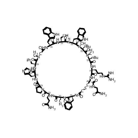 CCCC[C@H]1C(=O)N(C)[C@@H](CCCC)C(=O)N[C@@H](CCCNC(=N)N)C(=O)N[C@H](C(=O)NCC(N)=O)CSCC(=O)N[C@@H](Cc2ccccc2)C(=O)N(C)[C@@H](C)C(=O)N[C@@H](CCC(N)=O)C(=O)N2CCC[C@H]2C(=O)N[C@@H](Cc2cnc[nH]2)C(=O)N[C@@H](CC(C)C)C(=O)N(C)CC(=O)N[C@@H](Cc2c[nH]c3ccccc23)C(=O)N[C@@H](CO)C(=O)N[C@@H](Cc2c[nH]c3ccccc23)C(=O)N1C